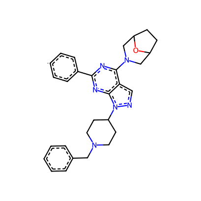 [c]1ccc(-c2nc(N3CC4CCC(C3)O4)c3cnn(C4CCN(Cc5ccccc5)CC4)c3n2)cc1